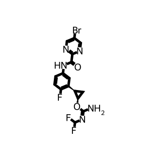 N/C(=N/C(F)F)O[C@@H]1C[C@@H]1c1cc(NC(=O)c2ncc(Br)cn2)ccc1F